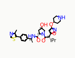 Cc1ncsc1-c1ccc([C@H](C)NC(=O)[C@@H]2C[C@@H](O)CN2C(=O)[C@H](c2cc(OC3CCNCC3)no2)C(C)C)cc1